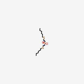 CCCCCCS/C=C/S(=O)(=O)/C=C/SCCCCCC